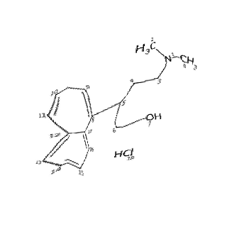 CN(C)CCC(CO)c1cccc2ccccc12.Cl